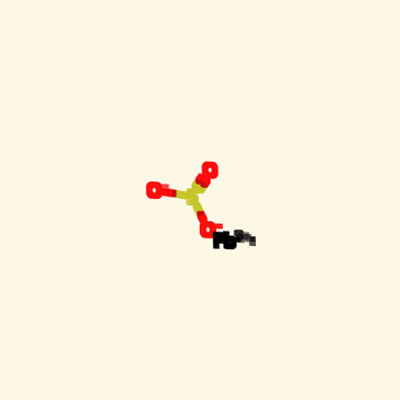 O=S([O-])[O-].[Pb+2]